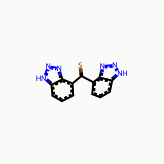 S=C(c1cccc2[nH]nnc12)c1cccc2[nH]nnc12